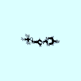 [2H]C([2H])([2H])ON=C1CN(c2ncc(Br)cn2)C1